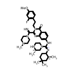 COc1ccc(CCn2c(C(=N)N3CCN(C)CC3)nc3cc(N/C(=N/C4CCC(C)(C)C[C@@H]4C)N4CCN[C@@H](C)C4)ccc3c2=O)c(F)c1